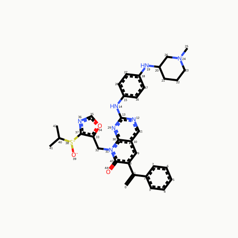 C=C(c1ccccc1)c1cc2cnc(Nc3ccc(NC4CCCN(C)C4)cc3)nc2n(Cc2ocnc2[S+]([O-])C(C)C)c1=O